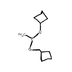 CP(OC1CCC1)OC1CCC1